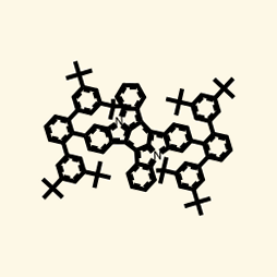 CC(C)(C)c1cc(-c2cccc(-c3cc(C(C)(C)C)cc(C(C)(C)C)c3)c2-c2ccc3c4c5c6ccccc6n6c7cc(-c8c(-c9cc(C(C)(C)C)cc(C(C)(C)C)c9)cccc8-c8cc(C(C)(C)C)cc(C(C)(C)C)c8)ccc7c(c7c8ccccc8n(c3c2)c74)c56)cc(C(C)(C)C)c1